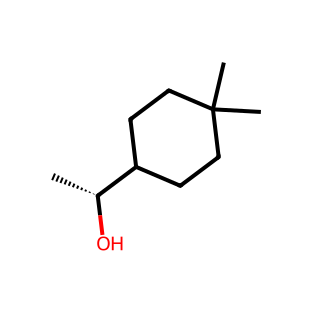 C[C@@H](O)C1CCC(C)(C)CC1